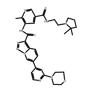 Cc1ncc(C(=O)NCCN2CCCC2(C)C)cc1NC(=O)c1nnn2cc(-c3ccnc(N4CCOCC4)c3)ccc12